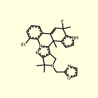 CCc1cccc2c1-n1nc3c(c1C1(C)C2=CC(C)(F)c2[nH]ccc21)CN(Cc1ncco1)C3(C)C